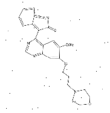 COc1cc2c(C3=c4ccccc4=NC3=O)ncnc2cc1OCCCN1CCOCC1